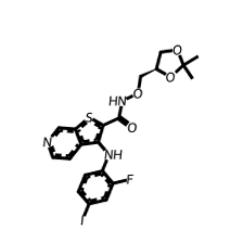 CC1(C)OC[C@H](CONC(=O)c2sc3cnccc3c2Nc2ccc(I)cc2F)O1